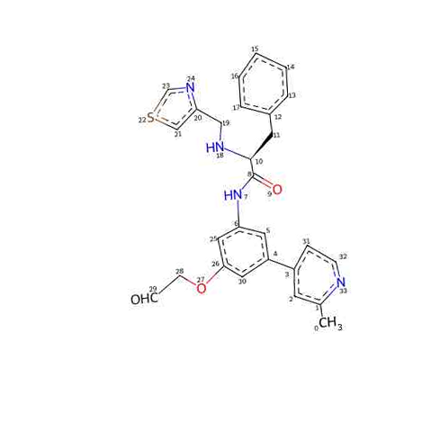 Cc1cc(-c2cc(NC(=O)[C@H](Cc3ccccc3)NCc3cscn3)cc(OCC=O)c2)ccn1